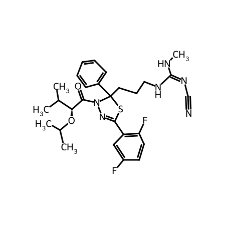 CN/C(=N/C#N)NCCCC1(c2ccccc2)SC(c2cc(F)ccc2F)=NN1C(=O)[C@@H](OC(C)C)C(C)C